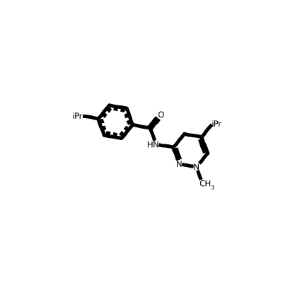 CC(C)C1=CN(C)N=C(NC(=O)c2ccc(C(C)C)cc2)C1